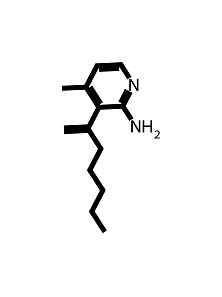 C=C(CCCCC)c1c(C)ccnc1N